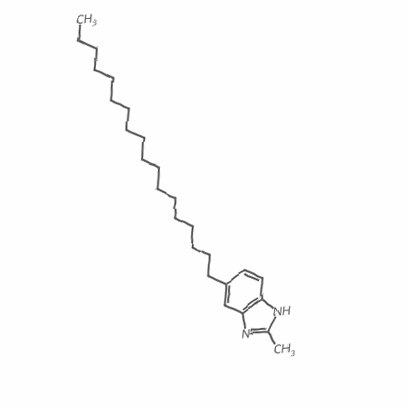 CCCCCCCCCCCCCCCCCCc1ccc2[nH]c(C)nc2c1